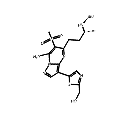 CC[C@H](C)N[C@H](C)CCc1nc2c(-c3cnc(CO)s3)cnn2c(N)c1S(C)(=O)=O